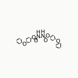 O=C(NCNC(=O)Oc1ccc(Oc2ccccc2)cc1)Oc1ccc(Oc2ccccc2)cc1